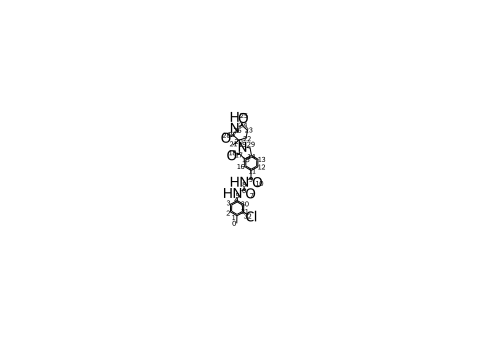 Cc1ccc(NC(=O)NC(=O)c2ccc3c(c2)C(=O)N(C2(C)CCC(=O)NC2=O)C3)cc1Cl